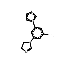 FC(F)(F)c1cc(N2C=NCC2)cc(-n2ccnc2)c1